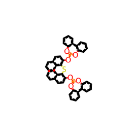 c1ccc2c(Sc3c(Op4oc5ccccc5c5ccccc5o4)ccc4ccccc34)c(Op3oc4ccccc4c4ccccc4o3)ccc2c1